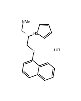 CNC[C@@H](COc1cccc2ccccc12)[SH]1C=CC=C1.Cl